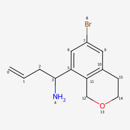 C=CCC(N)c1cc(Br)cc2c1COCC2